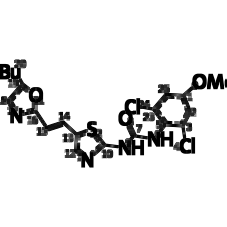 COc1cc(Cl)c(NC(=O)Nc2ncc(/C=C/c3ncc(C(C)(C)C)o3)s2)c(Cl)c1